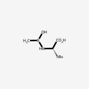 CCCC[C@H](NB(C)O)C(=O)O